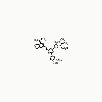 COc1ccc(-c2cc(N3CCC(N(C(=O)O)C(C)N(C)C)C3)nc(C=Cc3nc(N(C)C)c4ccccc4n3)n2)cc1OC